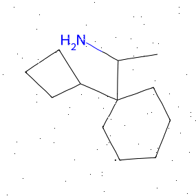 CC(N)C1(C2CCC2)C[CH]CCC1